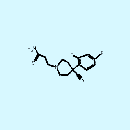 N#CC1(c2ccc(F)cc2F)CCN(CCC(N)=O)CC1